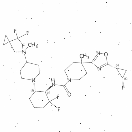 CN(CC1(C(F)(F)F)CC1)C1CCN([C@H]2CCCC(F)(F)[C@@H]2NC(=O)N2CCC(C)(c3noc([C@@H]4C[C@@H]4F)n3)CC2)CC1